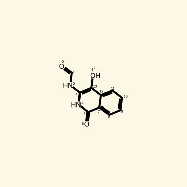 O=CNc1[nH]c(=O)c2ccccc2c1O